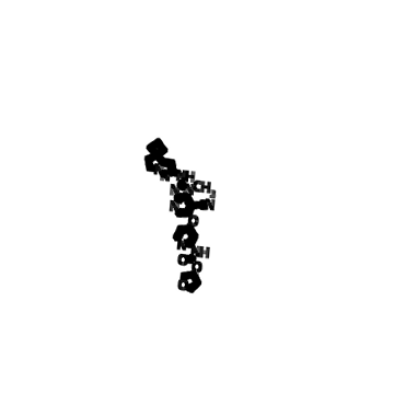 Cn1c(Nc2cc3n(n2)CCC32CCC2)nc2ncc(Oc3ccnc(NC(=O)O[C@@H]4CCOC4)c3)c(C#N)c21